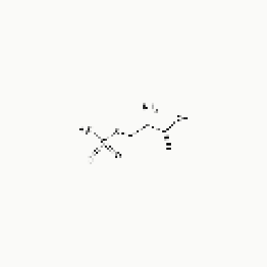 CS(=O)(=O)SC[C@H](N)C(=O)O